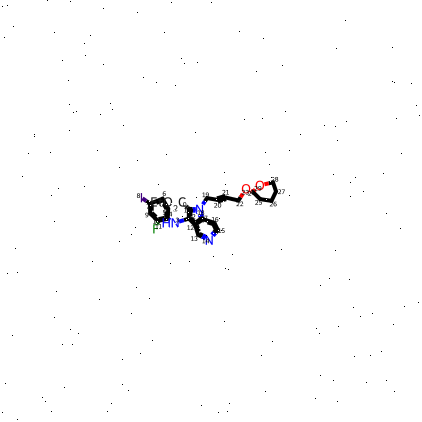 CCOC(=O)c1c(Nc2ccc(I)cc2F)c2cnccc2n1CC#CCOC1CCCCO1